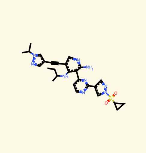 CCC(C)Nc1c(C#Cc2cnn(C(C)C)c2)cnc(N)c1-c1ccnc(-c2cnn(S(=O)(=O)C3CC3)c2)n1